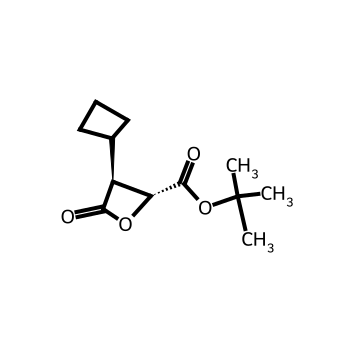 CC(C)(C)OC(=O)[C@@H]1OC(=O)[C@H]1C1CCC1